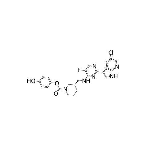 O=C(Oc1ccc(O)cc1)N1CCC[C@H](CNc2nc(-c3c[nH]c4ncc(Cl)cc34)ncc2F)C1